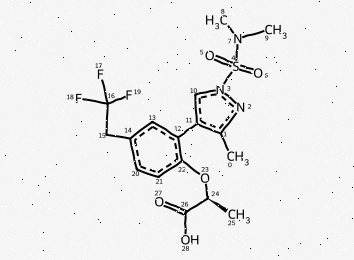 Cc1nn(S(=O)(=O)N(C)C)cc1-c1cc(CC(F)(F)F)ccc1O[C@@H](C)C(=O)O